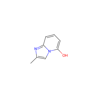 Cc1cn2c(O)cccc2n1